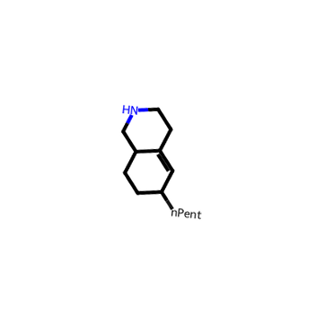 CCCCCC1C=C2CCNCC2CC1